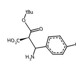 CC(C)(C)OC(=O)[C@H](C(=O)O)C(N)c1ccc(Cl)cc1